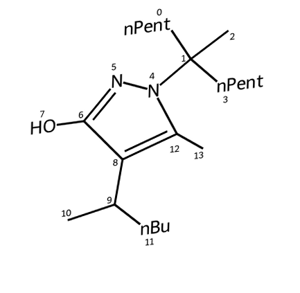 CCCCCC(C)(CCCCC)n1nc(O)c(C(C)CCCC)c1C